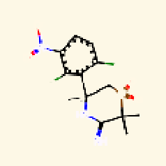 CC1(C)C(=N)N[C@](C)(c2c(F)ccc([N+](=O)[O-])c2F)CS1(=O)=O